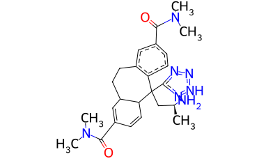 C[C@H](N)CC1(c2nn[nH]n2)c2ccc(C(=O)N(C)C)cc2CCC2C=C(C(=O)N(C)C)C=CC21